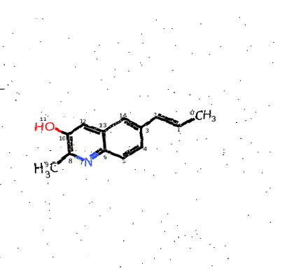 CC=Cc1ccc2nc(C)c(O)cc2c1